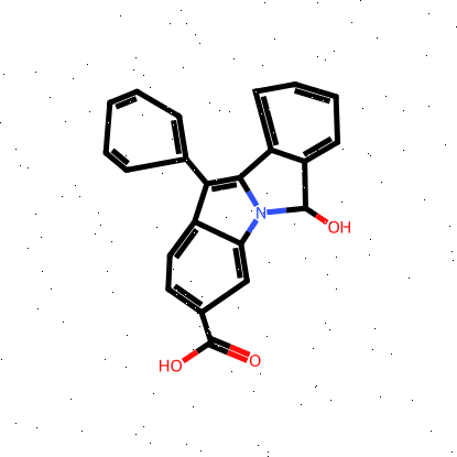 O=C(O)c1ccc2c(-c3ccccc3)c3n(c2c1)C(O)c1ccccc1-3